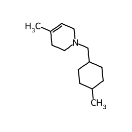 CC1=CCN(CC2CCC(C)CC2)CC1